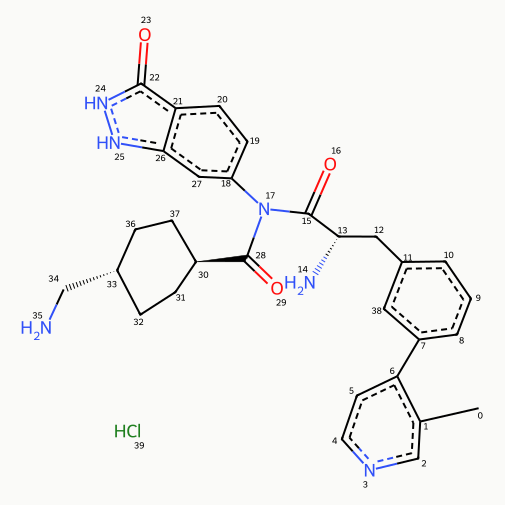 Cc1cnccc1-c1cccc(C[C@H](N)C(=O)N(c2ccc3c(=O)[nH][nH]c3c2)C(=O)[C@H]2CC[C@H](CN)CC2)c1.Cl